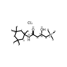 CC1(C)CC(C)(C)CC(C)(NC(=O)C[C@@H](O)C[N+](C)(C)C)C1.[Cl-]